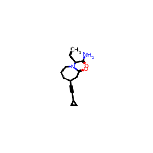 CCC(C(N)=O)N1CCCC(C#CC2CC2)CC1=O